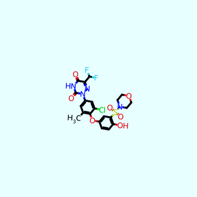 Cc1cc(-n2nc(C(F)F)c(=O)[nH]c2=O)cc(Cl)c1Oc1ccc(O)c(S(=O)(=O)N2CCOCC2)c1